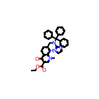 CCOC(=O)c1cn(C)c2cc(CN(c3ncc[nH]3)C(c3ccccc3)(c3ccccc3)c3ccccc3)ccc2c1=O